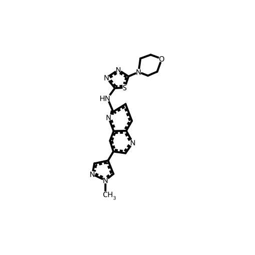 Cn1cc(-c2cnc3ccc(Nc4nnc(N5CCOCC5)s4)nc3c2)cn1